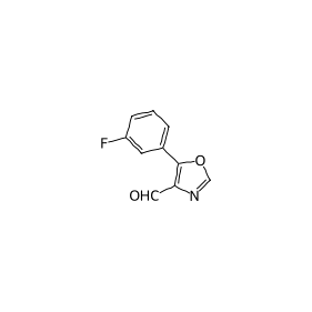 O=Cc1ncoc1-c1cccc(F)c1